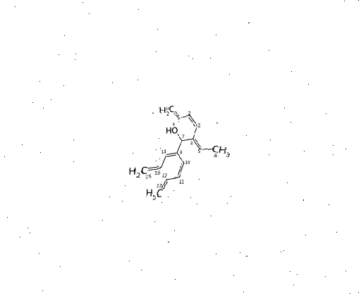 C=C/C=C\C(=C/C)C(O)C(/C=C\C=C)=C/C=C